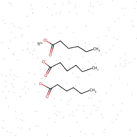 CCCCCC(=O)[O-].CCCCCC(=O)[O-].CCCCCC(=O)[O-].[Tl+3]